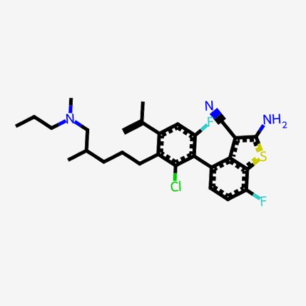 C=C(C)c1cc(F)c(-c2ccc(F)c3sc(N)c(C#N)c23)c(Cl)c1CCCC(C)CN(C)CCC